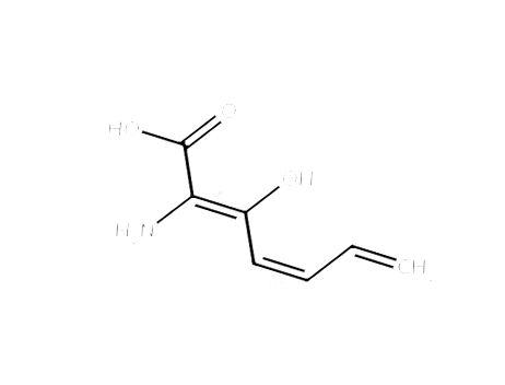 C=C/C=C\C(O)=C(/N)C(=O)O